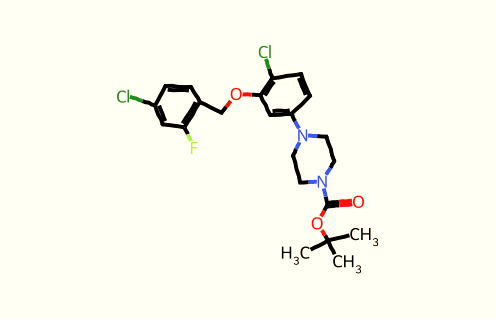 CC(C)(C)OC(=O)N1CCN(c2ccc(Cl)c(OCc3ccc(Cl)cc3F)c2)CC1